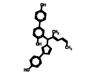 C/C=C\C=C(/C)C(c1cc(-c2ccc(O)cc2)ccc1O)C1C=CC(c2ccc(O)cc2)=C1